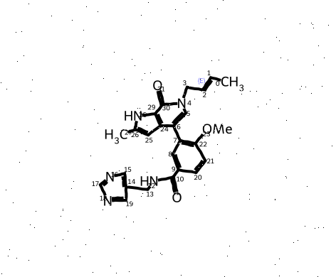 C/C=C/Cn1cc(-c2cc(C(=O)NCc3cncnc3)ccc2OC)c2cc(C)[nH]c2c1=O